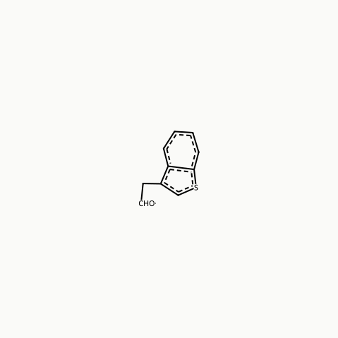 O=[C]Cc1csc2ccccc12